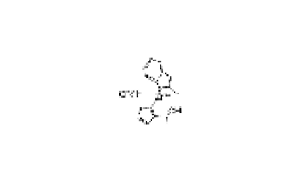 CC1=Cc2ccccc2[CH]1[Zr+2][C]1=C(C(C)O)C=CC1.[Cl-].[Cl-]